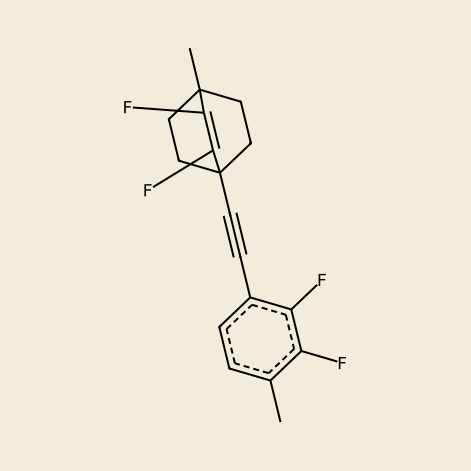 Cc1ccc(C#CC23CCC(C)(CC2)C(F)=C3F)c(F)c1F